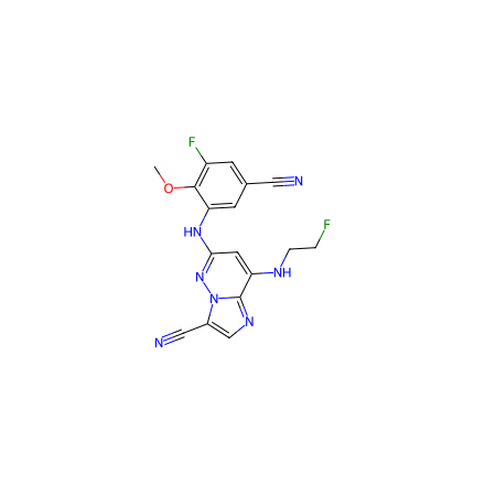 COc1c(F)cc(C#N)cc1Nc1cc(NCCF)c2ncc(C#N)n2n1